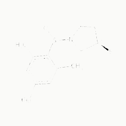 Cc1cc(C(C)(C)C)cc(C)c1[S+]([O-])N1CC[C@@H](F)C1